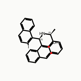 C[C@H](N[C@@H](c1c(O)ccc2ccccc12)c1c(I)ccc2ccccc12)c1ccccc1